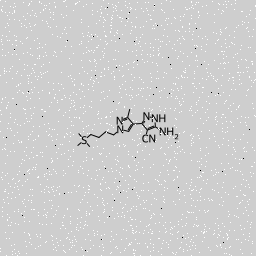 Cc1nn(CCCCS(C)(C)C)cc1-c1n[nH]c(N)c1C#N